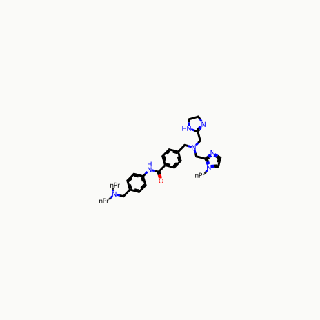 CCCN(CCC)Cc1ccc(NC(=O)c2ccc(CN(CC3=NCCN3)Cc3nccn3CCC)cc2)cc1